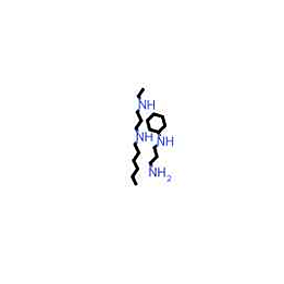 CCCCCCNCCCNCC.NCCCNC1CCCCC1